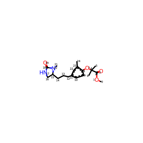 COC(=O)C(C)(C)Oc1ccc(CCCC2CNC(=O)N2C)cc1C